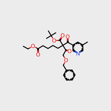 CCOC(=O)CCCCC(C(=O)COCc1ccccc1)(C(=O)OC(C)(C)C)C(=O)c1cncc(C)c1